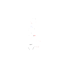 CCC1(C(=O)OC(O)c2ccccc2Br)CCN(C(=O)OC(C)(C)C)CC1